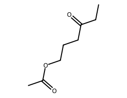 CCC(=O)CCCOC(C)=O